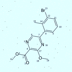 COC(=O)c1ncc(-c2cccc(Br)c2C)nc1OC